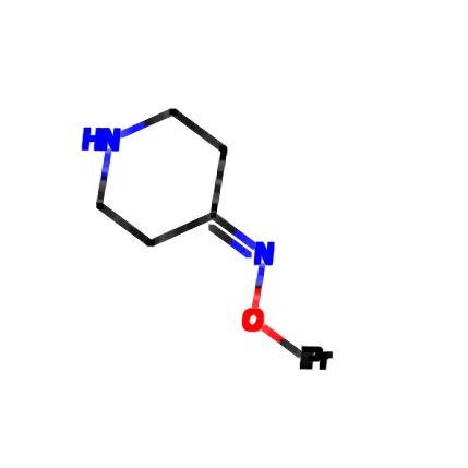 CC(C)ON=C1CCNCC1